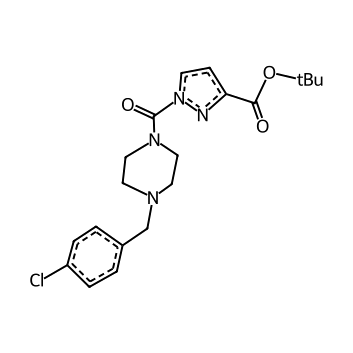 CC(C)(C)OC(=O)c1ccn(C(=O)N2CCN(Cc3ccc(Cl)cc3)CC2)n1